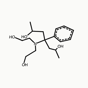 CC(O)CC(CC(C)O)(c1ccccc1)N(CCO)CCO